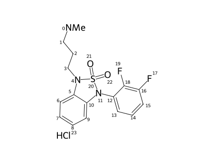 CNCCCN1c2ccccc2N(c2cccc(F)c2F)S1(=O)=O.Cl